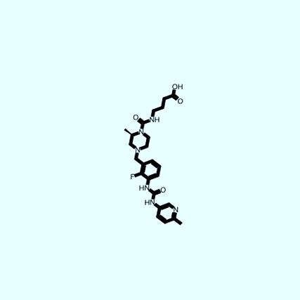 Cc1ccc(NC(=O)Nc2cccc(CN3CCN(C(=O)NCCCC(=O)O)[C@H](C)C3)c2F)cn1